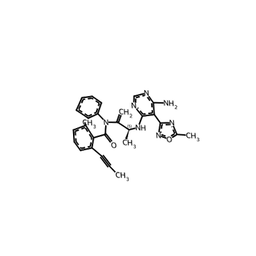 C=C([C@H](C)Nc1ncnc(N)c1-c1noc(C)n1)N(C(=O)c1c(C)cccc1C#CC)c1ccccc1